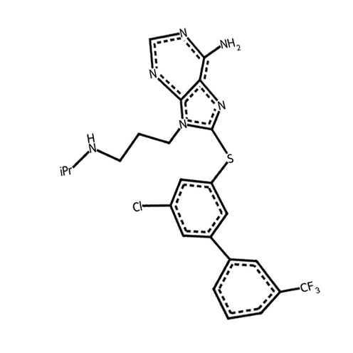 CC(C)NCCCn1c(Sc2cc(Cl)cc(-c3cccc(C(F)(F)F)c3)c2)nc2c(N)ncnc21